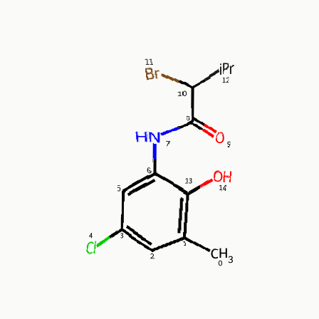 Cc1cc(Cl)cc(NC(=O)C(Br)C(C)C)c1O